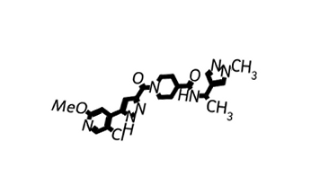 COc1cc(-c2cc(C(=O)N3CCC(C(=O)NC(C)c4cnn(C)c4)CC3)n[nH]2)c(Cl)cn1